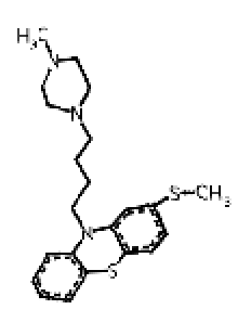 CSc1ccc2c(c1)N(CCCCN1CCN(C)CC1)c1ccccc1S2